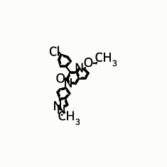 CCOc1ccc2cn(-c3ccc4nn(C)cc4c3)c(=O)c(-c3ccc(Cl)cc3)c2n1